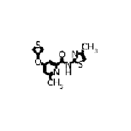 Cc1cc(OC2CSC2)cc(C(=O)Nc2nc(C)cs2)n1